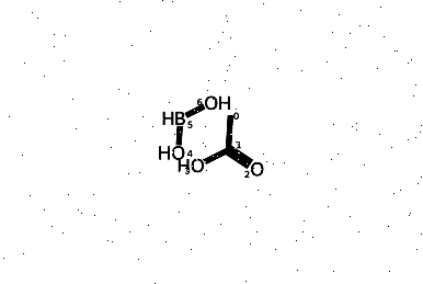 CC(=O)O.OBO